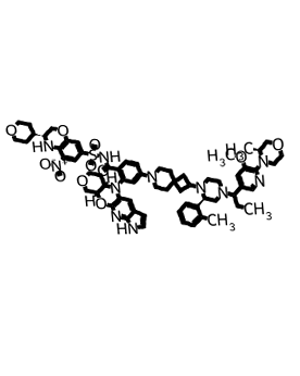 CCC(c1cnc(N2CCOC[C@@H]2C)c(OC)c1)N1CCN(C2CC3(CCN(c4ccc(C(=O)NS(=O)(=O)c5cc6c(c([N+](=O)[O-])c5)N[C@H](C5CCOCC5)CO6)c(N5c6cc7cc[nH]c7nc6O[C@H]6COCC[C@@H]65)c4)CC3)C2)[C@H](c2ccccc2C)C1